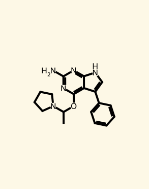 CC(Oc1nc(N)nc2[nH]cc(-c3ccccc3)c12)N1CCCC1